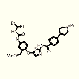 CCCN1CC=C(c2ccc(C(=O)Nc3ncc(Oc4ccc(NC(=O)NC(CC)CC)cc4COC)s3)cc2)CC1